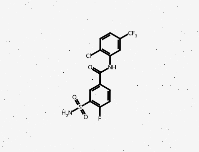 NS(=O)(=O)c1cc(C(=O)Nc2cc(C(F)(F)F)ccc2Cl)ccc1F